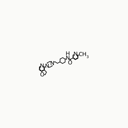 Cc1ccc(C(=O)NC2CCC(CCN3CCN(c4nccc5c4CCO5)CC3)CC2)cn1